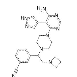 N#Cc1cccc(C(CN2CCC2)N2CCN(c3ncnc(N)c3-c3cn[nH]c3)CC2)c1